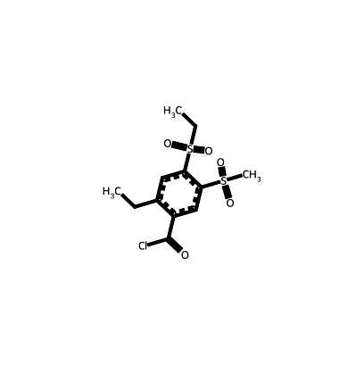 CCc1cc(S(=O)(=O)CC)c(S(C)(=O)=O)cc1C(=O)Cl